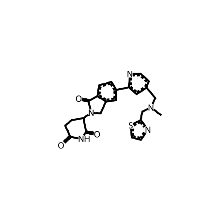 CN(Cc1ccnc(-c2ccc3c(c2)CN(C2CCC(=O)NC2=O)C3=O)c1)Cc1nccs1